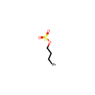 CC(C)CC[CH]O[SH](=O)=O